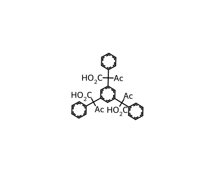 CC(=O)C(C(=O)O)(c1ccccc1)c1cc(C(C(C)=O)(C(=O)O)c2ccccc2)cc(C(C(C)=O)(C(=O)O)c2ccccc2)c1